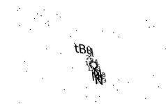 CC(C)(C)CCc1ccc(-n2ccnn2)cc1